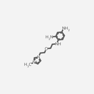 C[n+]1ccn(CCOCCNc2ccc(N)cc2N)c1